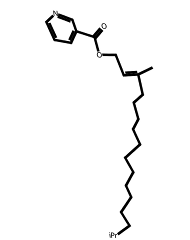 C/C(=C\COC(=O)c1cccnc1)CCCCCCCCCCCC(C)C